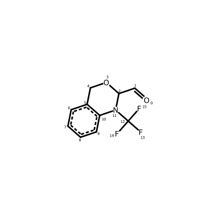 O=CC1OCc2ccccc2N1C(F)(F)F